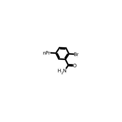 CCCc1ccc(Br)c(C(N)=O)c1